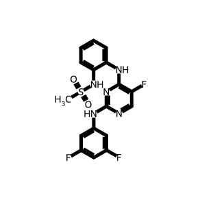 CS(=O)(=O)Nc1ccccc1Nc1nc(Nc2cc(F)cc(F)c2)ncc1F